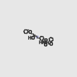 O=S(=O)(Nc1cccc(/C=C/[C@H](O)CCOc2[c]cccc2)c1)c1coc2ccccc12